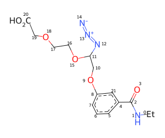 CCNC(=O)c1cccc(OCC(N=[N+]=[N-])OCCOCC(=O)O)c1